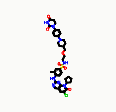 Cc1cc(S(=O)(=O)NCCOCC2CCN(c3ccc(N4CCC(=O)NC4=O)cc3)CC2)ccc1Nc1ncc2cc(Cl)c(=O)n(C3CCCC3)c2n1